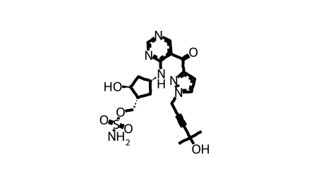 CC(C)(O)C#CCn1ccc(C(=O)c2cncnc2N[C@@H]2C[C@H](COS(N)(=O)=O)[C@@H](O)C2)n1